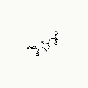 COC(=O)c1ncc(CS(C)(=O)=O)s1